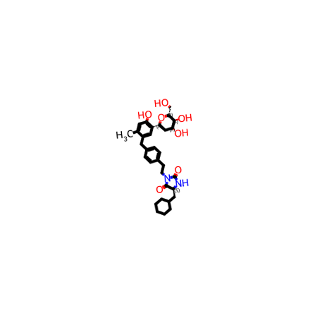 Cc1cc(O)c([C@H]2C[C@@H](O)[C@H](O)[C@@H](CO)O2)cc1Cc1ccc(CCN2C(=O)N[C@@H](CC3CCCCC3)C2=O)cc1